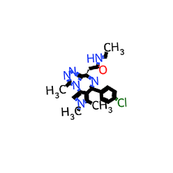 CCNC(=O)C[C@@H]1N=C(c2ccc(Cl)cc2)c2c(cn(C)c2C)-n2c(C)nnc21